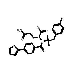 CC(C)(Cc1ccc(F)cc1)N(C(=O)c1ccc(-c2cccs2)cc1)[C@@H](CCC(N)=O)C(=O)O